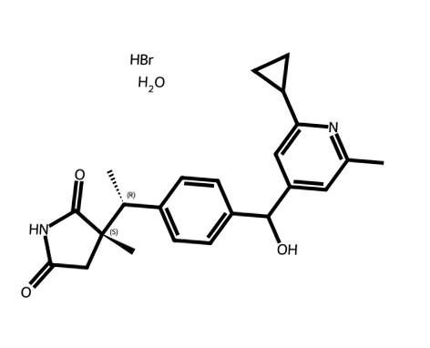 Br.Cc1cc(C(O)c2ccc([C@@H](C)[C@]3(C)CC(=O)NC3=O)cc2)cc(C2CC2)n1.O